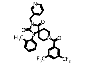 Cc1ccccc1N1C(=O)N(Cc2cccnc2)C(=O)C12CCN(C(=O)c1cc(C(F)(F)F)cc(C(F)(F)F)c1)CC2